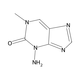 Cn1cc2ncnc-2n(N)c1=O